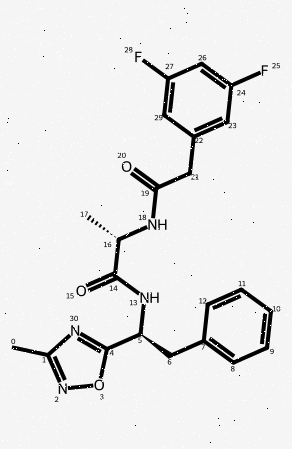 Cc1noc([C@H](Cc2ccccc2)NC(=O)[C@H](C)NC(=O)Cc2cc(F)cc(F)c2)n1